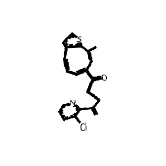 C=C(CCC(=O)C1=C/C=Cc2ccsc2/C(C)=C\1)c1ncccc1Cl